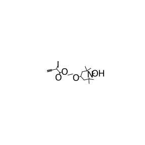 C#CC(I)C(=O)OCCOC1CC(C)(C)N(O)C(C)(C)C1